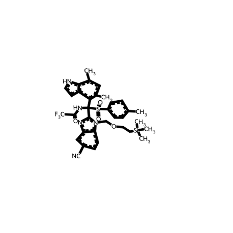 Cc1ccc(S(=O)(=O)C(NC(=O)C(F)(F)F)(c2c(C)cc(C)c3[nH]ccc23)c2nc3cc(C#N)ccc3n2COCC[Si](C)(C)C)cc1